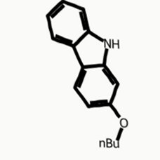 CCCCOc1ccc2c(c1)[nH]c1ccccc12